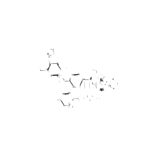 COc1ncccc1-c1cc(C(=O)NS(=O)(=O)N2CCC2)ccc1Oc1ccc(OC(F)(F)F)c(Cl)c1